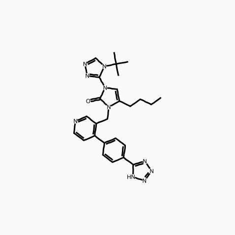 CCCCc1cn(-c2nncn2C(C)(C)C)c(=O)n1Cc1cnccc1-c1ccc(-c2nnn[nH]2)cc1